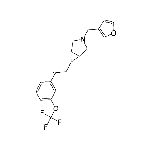 FC(F)(F)Oc1cccc([CH]CC2C3CN(Cc4ccoc4)CC23)c1